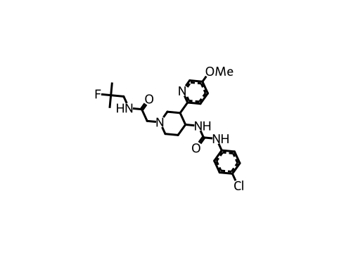 COc1ccc(C2CN(CC(=O)NCC(C)(C)F)CCC2NC(=O)Nc2ccc(Cl)cc2)nc1